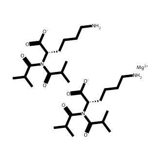 CC(C)C(=O)N(C(=O)C(C)C)[C@@H](CCCCN)C(=O)[O-].CC(C)C(=O)N(C(=O)C(C)C)[C@@H](CCCCN)C(=O)[O-].[Mg+2]